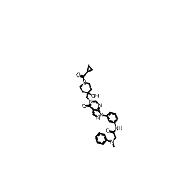 CN(CC(=O)Nc1cccc(-n2ncc3c(=O)n(CC4(O)CCN(C(=O)C5CC5)CC4)cnc32)c1)c1ccccc1